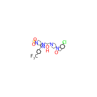 CS(=O)(=O)N1CCc2c(c(-c3ccc(C(F)(F)F)cc3)nn2CC(O)CN2CCC(N3C(=O)Cc4ccc(Cl)cc43)CC2)C1